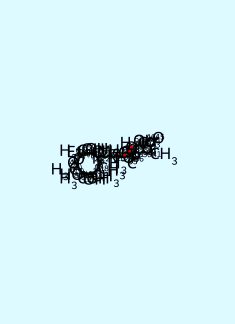 CC[C@H]1OC(=O)[C@H](C)[C@@H](O)[C@H](C)[C@@H](O)[C@](C)(O)C[C@@H](C)CN(CCCNCCC(=O)O[C@]2(C(=O)OC)[C@H](C)CC3C4C[C@H](C)C5=CC(=O)C=C[C@]5(C)C4[C@@H](O)C[C@@]32C)[C@H](C)[C@@H](O)[C@]1(C)O